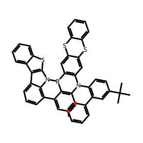 Cc1cc2c3c(c1)N(c1ccc(C(C)(C)C)cc1-c1ccccc1)c1cc4c(cc1B3n1c3sc5ccccc5c3c3cccc-2c31)Sc1ccccc1S4